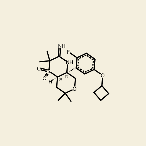 CC1(C)C[C@@H]2[C@](c3cc(OC4CCC4)ccc3F)(CO1)NC(=N)C(C)(C)S2(=O)=O